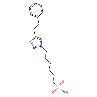 NS(=O)(=O)CCCCCCn1cc(CCc2ccccc2)nn1